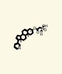 C[C@]12CC[C@H](OC(=O)CP(=O)(O)O)CC1=CCC1C2CC[C@]2(C)C(c3cccnc3)=CCC12